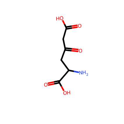 NC(CC(=O)CC(=O)O)C(=O)O